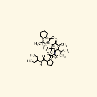 C/C(=C\[C@H](C(C)C)N(C)C(=O)[C@@H](NC(=O)[C@H]1CCCCN1C(C)C)C(C)(C)C)C(=O)N1CCCC1C(=O)NC(CO)CO